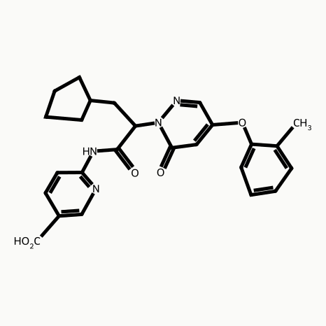 Cc1ccccc1Oc1cnn(C(CC2CCCC2)C(=O)Nc2ccc(C(=O)O)cn2)c(=O)c1